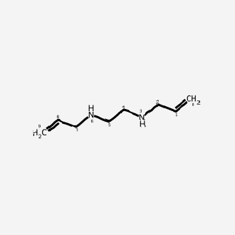 C=CCNCCNCC=C